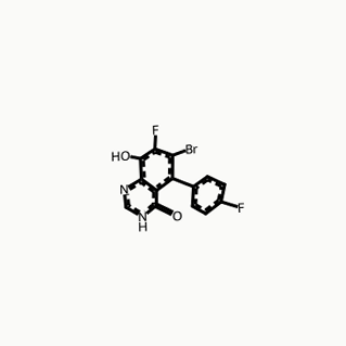 O=c1[nH]cnc2c(O)c(F)c(Br)c(-c3ccc(F)cc3)c12